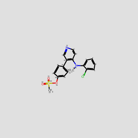 CCOC(=O)N(c1ccccc1Cl)c1ccncc1-c1ccc(OS(=O)(=O)C(F)(F)F)cc1